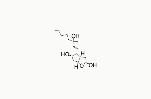 CCCCC[C@](C)(O)/C=C/[C@@H]1[C@H]2C[C@@H](O)O[C@H]2C[C@H]1O